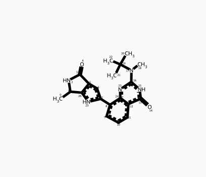 CC1NC(=O)c2cc(-c3cccc4c(=O)[nH]c(N(C)C(C)(C)C)nc34)[nH]c21